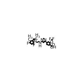 Cc1c(F)cc(F)c2c1cc(C)n2CCNc1cc(-c2ccc(C(=O)O)c(OC(F)F)c2)ncn1